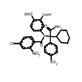 COc1ccc(N(C(=O)c2ccc(Cl)cc2[N+](=O)[O-])C(C(N)=O)(c2ccc([N+](=O)[O-])cc2)C2CCCCC2)cc1OC